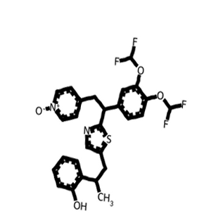 CC(Cc1cnc(C(Cc2cc[n+]([O-])cc2)c2ccc(OC(F)F)c(OC(F)F)c2)s1)c1ccccc1O